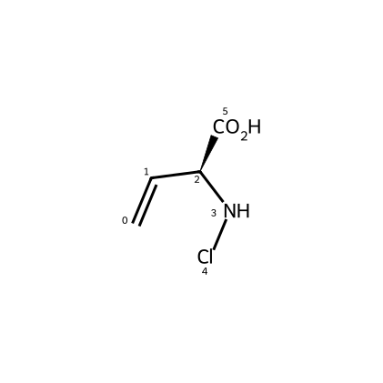 C=C[C@H](NCl)C(=O)O